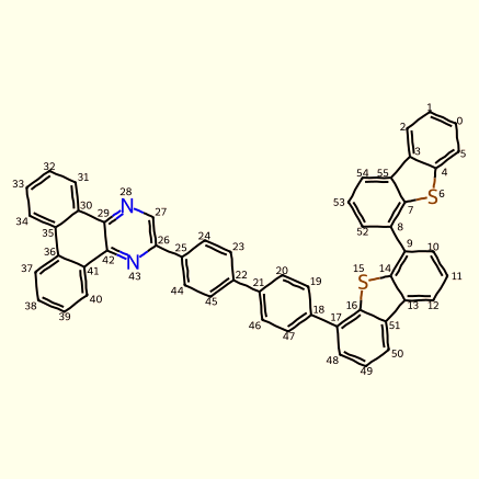 c1ccc2c(c1)sc1c(-c3cccc4c3sc3c(-c5ccc(-c6ccc(-c7cnc8c9ccccc9c9ccccc9c8n7)cc6)cc5)cccc34)cccc12